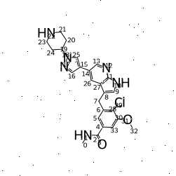 CNC(=O)c1cc(Cc2c[nH]c3ncc(-c4cnn(C5CCNCC5)c4)cc23)c(Cl)c(OC)c1